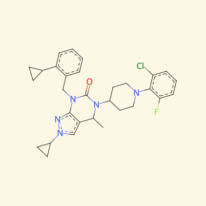 CC1c2cn(C3CC3)nc2N(Cc2ccccc2C2CC2)C(=O)N1C1CCN(c2c(F)cccc2Cl)CC1